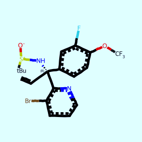 C=C[C@@](N[S+]([O-])C(C)(C)C)(c1ccc(OC(F)(F)F)c(F)c1)c1ncccc1Br